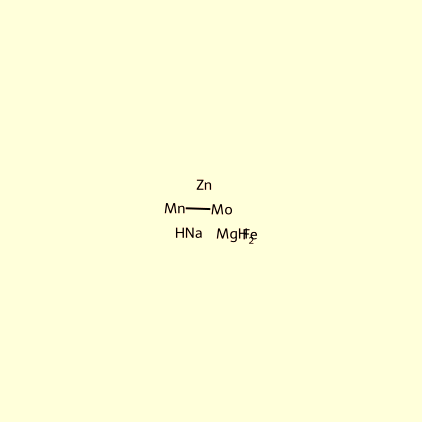 [Fe].[MgH2].[Mn][Mo].[NaH].[Zn]